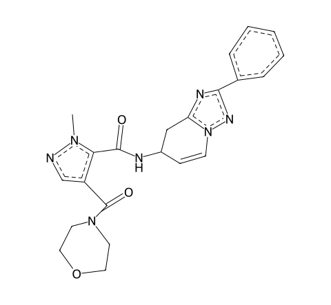 Cn1ncc(C(=O)N2CCOCC2)c1C(=O)NC1C=Cn2nc(-c3ccccc3)nc2C1